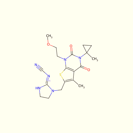 COCCn1c(=O)n(C2(C)CC2)c(=O)c2c(C)c(CN3CCN/C3=N\C#N)sc21